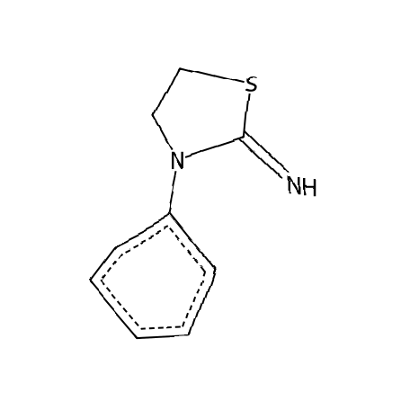 N=C1SCCN1c1ccccc1